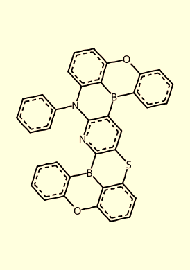 c1ccc(N2c3cccc4c3B(c3ccccc3O4)c3cc4c(nc32)B2c3ccccc3Oc3cccc(c32)S4)cc1